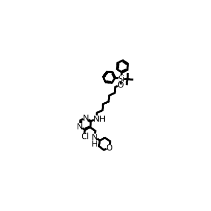 CC(C)(C)[Si](OCCCCCCCNc1ncnc(Cl)c1CNC1CCOCC1)(c1ccccc1)c1ccccc1